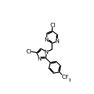 FC(F)(F)c1ccc(-c2nc(Cl)cn2Cc2ncc(Cl)cn2)cc1